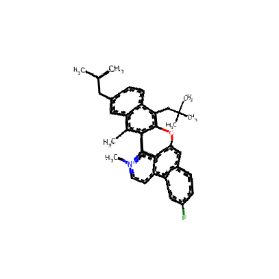 Cc1c2c(c(CC(C)(C)C)c3ccc(CC(C)C)cc13)Oc1cc3ccc(F)cc3c3cc[n+](C)c-2c13